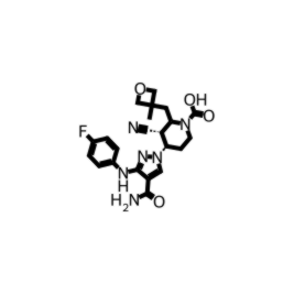 CC1(CC2[C@@H](C#N)[C@@H](n3cc(C(N)=O)c(Nc4ccc(F)cc4)n3)CCN2C(=O)O)COC1